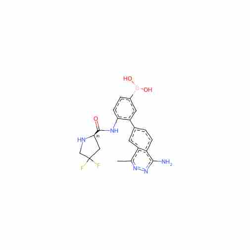 Cc1nnc(N)c2ccc(-c3cc(B(O)O)ccc3NC(=O)[C@H]3CC(F)(F)CN3)cc12